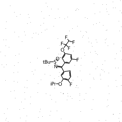 CC(C)Oc1cc(C(=N[S+]([O-])C(C)(C)C)c2cc(F)cc(OC(F)(F)C(F)F)c2)ccc1F